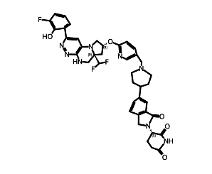 O=C1CC[C@H](N2Cc3ccc(C4CCN(Cc5ccc(O[C@H]6CN7c8cc(-c9cccc(F)c9O)nnc8NC[C@@]7(C(F)F)C6)nc5)CC4)cc3C2=O)C(=O)N1